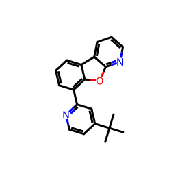 CC(C)(C)c1ccnc(-c2cccc3c2oc2ncccc23)c1